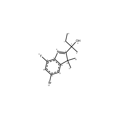 CCC(C)(O)C1=Nc2c(F)cc(Br)cc2C1(C)C